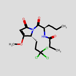 CCC[C@@H](NC(=O)CC)C(=O)N1C(=O)C=C(OC)[C@H]1CCC(Cl)(Cl)Cl